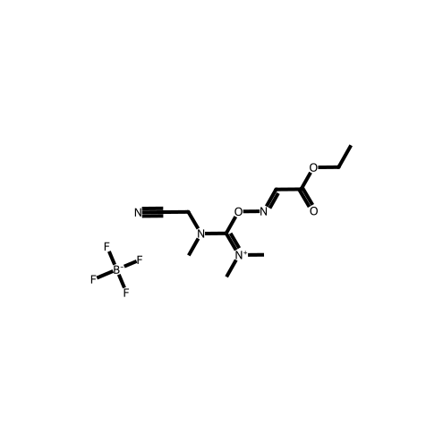 CCOC(=O)C=NOC(N(C)CC#N)=[N+](C)C.F[B-](F)(F)F